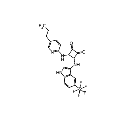 O=C1C(=O)C(Nc2c[nH]c3ccc(S(F)(F)(F)(F)F)cc23)C1Nc1ccc(CCC(F)(F)F)cn1